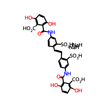 O=C(O)c1c(O)ccc(O)c1C(=O)Nc1ccc(/C=C/c2ccc(NC(=O)c3c(O)ccc(O)c3C(=O)O)cc2S(=O)(=O)O)c(S(=O)(=O)O)c1.[NaH].[NaH]